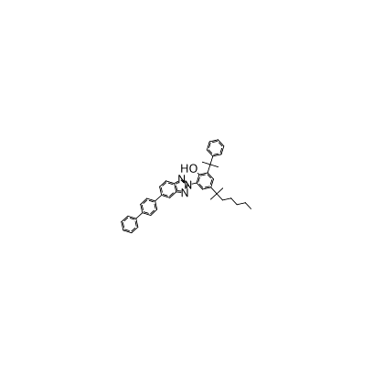 CCCCCC(C)(C)c1cc(-n2nc3ccc(-c4ccc(-c5ccccc5)cc4)cc3n2)c(O)c(C(C)(C)c2ccccc2)c1